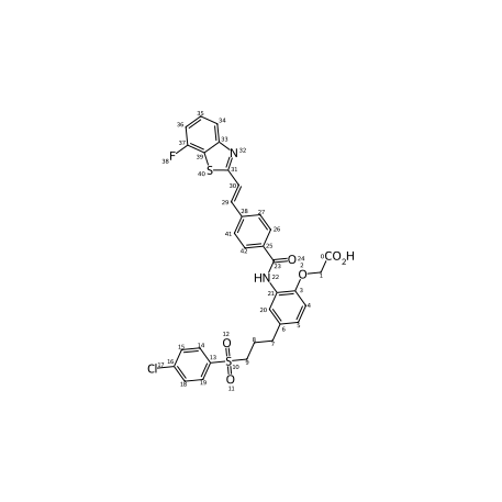 O=C(O)COc1ccc(CCCS(=O)(=O)c2ccc(Cl)cc2)cc1NC(=O)c1ccc(C=Cc2nc3cccc(F)c3s2)cc1